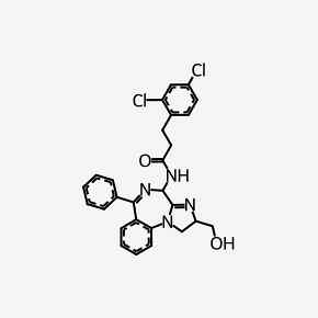 O=C(CCc1ccc(Cl)cc1Cl)NC1N=C(c2ccccc2)c2ccccc2N2CC(CO)N=C12